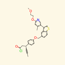 CC#C[C@@H](CC(=O)Cl)c1ccc(OCc2ccc3scc(-c4cnc(OCCOC)cc4C)c3c2)cc1